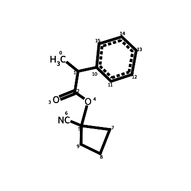 CC(C(=O)OC1(C#N)CCC1)c1ccccc1